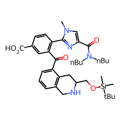 CCCCN(CCCC)C(=O)c1cn(C)c(-c2ccc(C(=O)O)cc2C(=O)c2cccc3c2CC(CO[Si](C)(C)C(C)(C)C)NC3)n1